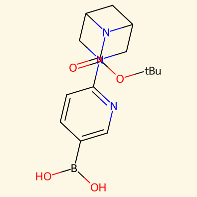 CC(C)(C)OC(=O)N1C2CC1CN(c1ccc(B(O)O)cn1)C2